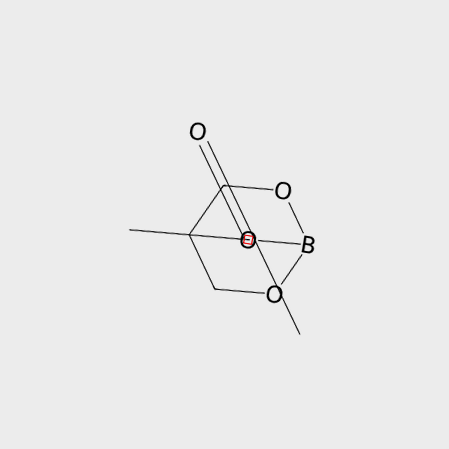 CC12COB(OC1)OC2=O